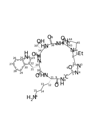 CCC1c2nnc(o2)CNC(=O)[C@H](CCCCN)NC(=O)[C@H](Cc2c[nH]c3ccccc23)NC(=O)[C@H](CO)NC(=O)NC(=O)[C@@H]2CCCN12